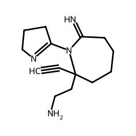 C#CC1(CCN)CCCCC(=N)N1C1=NCCC1